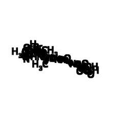 CCc1cc(Nc2ncc(Br)c(Nc3ccc4nccnc4c3P(C)(C)=O)n2)c(OC)cc1N1CCC(N2CCN(C(=O)CC3CN(c4ccc5c(c4)C(=O)N(C4CCC(=O)NC4O)C5=O)C3)CC2)CC1